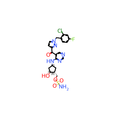 NS(=O)(=O)OC[C@H]1C[C@@H](Nc2ncncc2C(=O)c2ccn(Cc3ccc(F)cc3Cl)n2)C[C@@H]1O